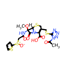 CO[C@@]1(NC(=O)C[S+]([O-])c2cccs2)C(=O)N2C(C(=O)O)=C(CSc3nnnn3C(C)=O)CS[C@H]21